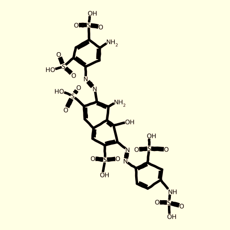 Nc1cc(N=Nc2c(S(=O)(=O)O)cc3cc(S(=O)(=O)O)c(N=Nc4ccc(NS(=O)(=O)O)cc4S(=O)(=O)O)c(O)c3c2N)c(S(=O)(=O)O)cc1S(=O)(=O)O